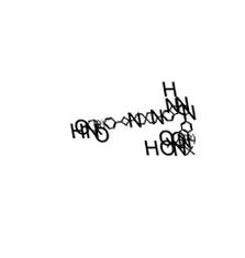 Cc1cc(-c2ncnc3[nH]c4cc(N5CCC6(CC5)CCN(C5CC(c7ccc([C@H]8CCC(=O)NC8=O)cc7)C5)CC6)ccc4c23)ccc1[C@@H](C)N1OC(C(=O)O)=NC1C(C)(C)C